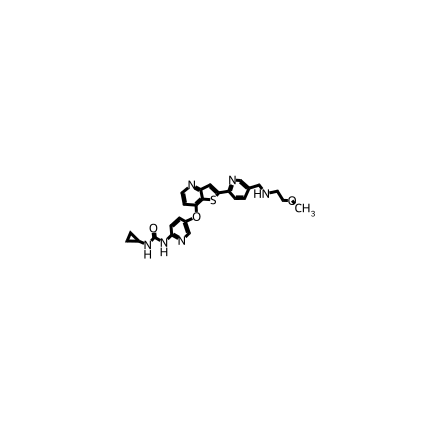 COCCNCc1ccc(-c2cc3nccc(Oc4ccc(NC(=O)NC5CC5)nc4)c3s2)nc1